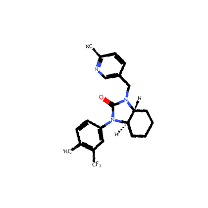 N#Cc1ccc(CN2C(=O)N(c3ccc(C#N)c(C(F)(F)F)c3)[C@@H]3CCCC[C@H]32)cn1